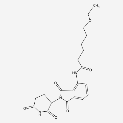 CCOCCCCCC(=O)Nc1cccc2c1C(=O)N(C1CCC(=O)NC1=O)C2=O